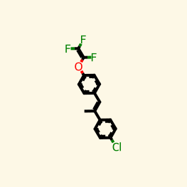 C/C(=C\c1ccc(OC(F)=C(F)F)cc1)c1ccc(Cl)cc1